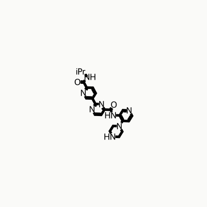 CC(C)NC(=O)c1ccc(-c2nccc(C(=O)Nc3cnccc3N3CCNCC3)n2)cn1